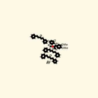 COc1cc2ncc(C#N)c(Nc3c(Cl)cc(C#N)c4c3OCO4)c2cc1OC.O=C(C=Cc1ccccc1)C=Cc1ccccc1.O=C(C=Cc1ccccc1)C=Cc1ccccc1.O=C(C=Cc1ccccc1)C=Cc1ccccc1.[Pd].[Pd]